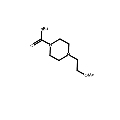 CCCCC(=O)N1CCN(CCOC)CC1